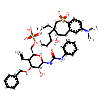 C=CC1[C@@H](COS(=O)(=O)O)O[C@@H](NC(=O)Nc2cccc([C@H]3c4cc(N(C)C)ccc4S(=O)(=O)C[C@@](CC)(CCCC)[C@H]3O)c2)[C@H](O)[C@H]1OCc1ccccc1